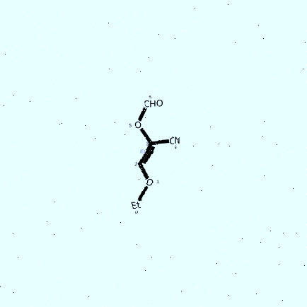 CCO/C=C(\C#N)OC=O